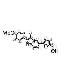 COc1ccc(-c2nc3ccc(-c4ccc(CO)o4)cn3c2C)cc1